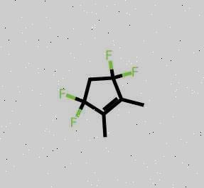 CC1=C(C)C(F)(F)CC1(F)F